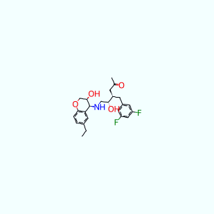 CCc1ccc2c(c1)[C@H](NC[C@@H](O)[C@@H](CC(C)=O)Cc1cc(F)cc(F)c1)[C@H](O)CO2